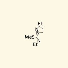 CCN=C(SC)N1CCC(CC)=N1